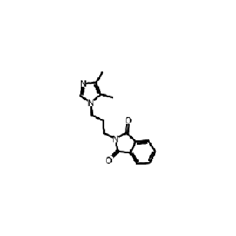 Cc1ncn(CCCN2C(=O)c3ccccc3C2=O)c1C